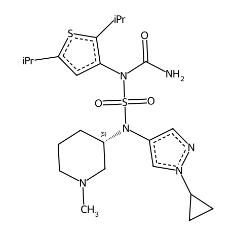 CC(C)c1cc(N(C(N)=O)S(=O)(=O)N(c2cnn(C3CC3)c2)[C@H]2CCCN(C)C2)c(C(C)C)s1